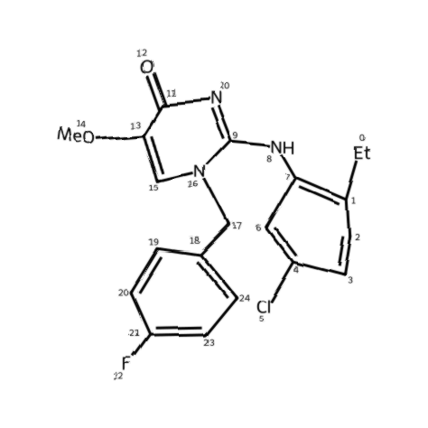 CCc1ccc(Cl)cc1Nc1nc(=O)c(OC)cn1Cc1ccc(F)cc1